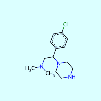 CN(C)CC(c1ccc(Cl)cc1)N1CCNCC1